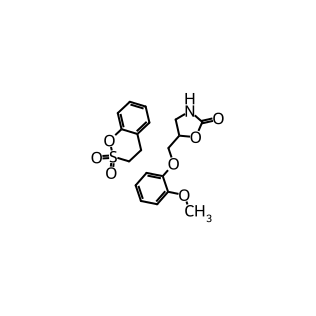 COc1ccccc1OCC1CNC(=O)O1.O=S1(=O)CCc2ccccc2O1